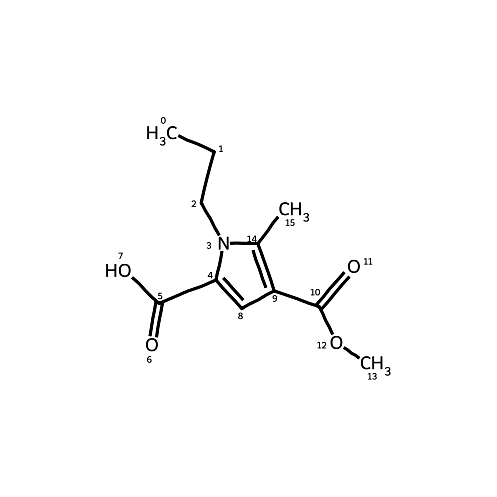 CCCn1c(C(=O)O)cc(C(=O)OC)c1C